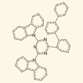 c1ccc(-c2cccc(-c3ccccc3-c3nc(-n4c5ccccc5c5ccccc54)nc(-n4c5ccccc5c5ccccc54)n3)c2)cc1